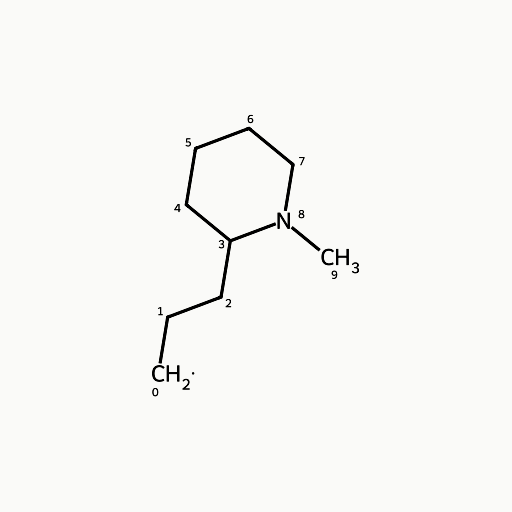 [CH2]CCC1CCCCN1C